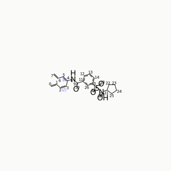 C=C/C=C\C(=C/C=C)NC(=O)c1cccc(S(=O)(=O)N(O)C2CCCC2)c1